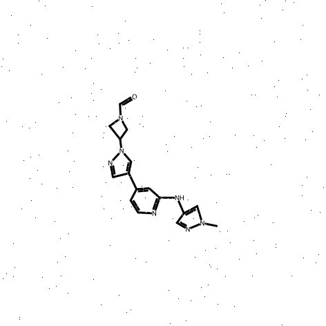 Cn1cc(Nc2cc(-c3cnn(C4CN(C=O)C4)c3)ccn2)cn1